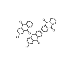 CCc1ccc2c(c1)C(=O)c1ccccc1C2.CCc1ccc2c(c1)C(=O)c1ccccc1C2=O.O=C1c2ccccc2C(=O)c2ccccc21